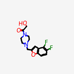 O=C(CO)N1CCN(Cc2cc3c(F)c(F)ccc3o2)CC1